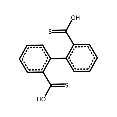 OC(=S)c1ccccc1-c1ccccc1C(O)=S